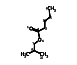 CC[CH]CC(=O)OCC(C)C